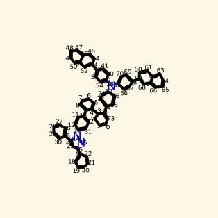 C1=CCC(c2ccccc2-c2ccc(-n3nc(-c4ccccc4)cc3-c3ccccc3)cc2)C(c2ccc(N(c3ccc(-c4ccc5ccccc5c4)cc3)c3ccc(-c4ccc5ccccc5c4)cc3)cc2)=C1